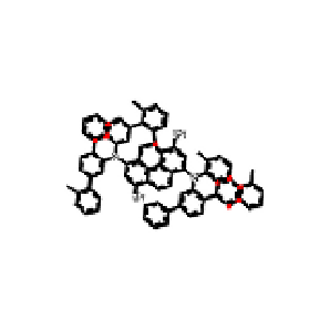 Cc1ccccc1-c1ccc(-c2ccccc2)c(N(c2cc(-c3c(C)cccc3C)ccc2C)c2cc(C(C)C)c3ccc4c(N(c5cc(-c6c(C)cccc6C)ccc5C)c5cc(-c6ccccc6)ccc5-c5ccccc5)cc(C(C)C)c5ccc2c3c54)c1